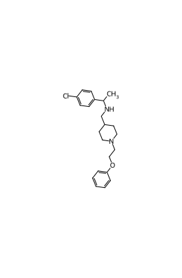 CC(NCC1CCN(CCOc2ccccc2)CC1)c1ccc(Cl)cc1